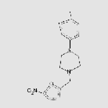 O=[N+]([O-])c1ccc(CN2CCN(c3ccc(I)cc3)CC2)o1